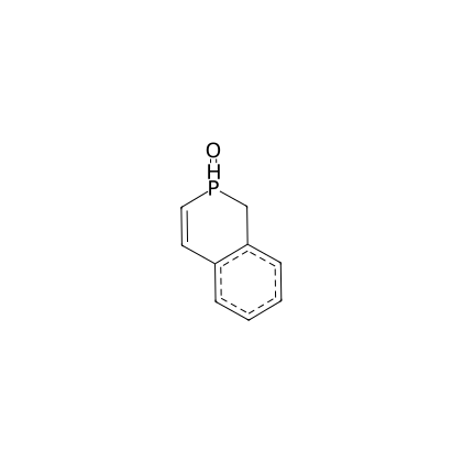 O=[PH]1C=Cc2ccccc2C1